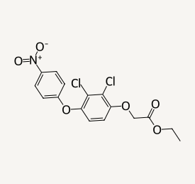 CCOC(=O)COc1ccc(Oc2ccc([N+](=O)[O-])cc2)c(Cl)c1Cl